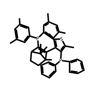 Cc1cc(C)cc(P(C2=C(c3c(C)sc(C)c3P(c3ccccc3)c3ccccc3)C3(C)CCC2C3(C)C)c2cc(C)cc(C)c2)c1